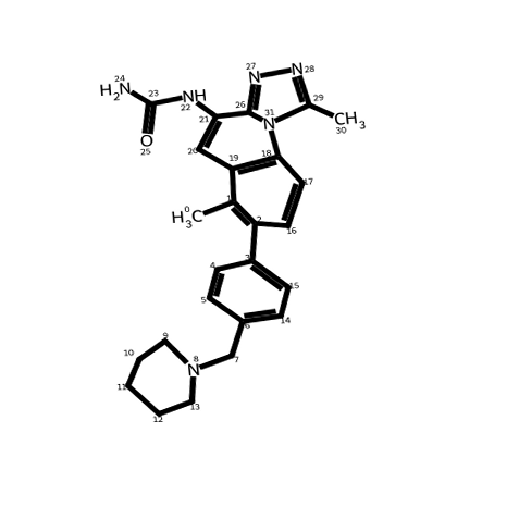 Cc1c(-c2ccc(CN3CCCCC3)cc2)ccc2c1cc(NC(N)=O)c1nnc(C)n12